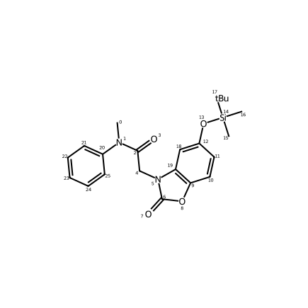 CN(C(=O)Cn1c(=O)oc2ccc(O[Si](C)(C)C(C)(C)C)cc21)c1ccccc1